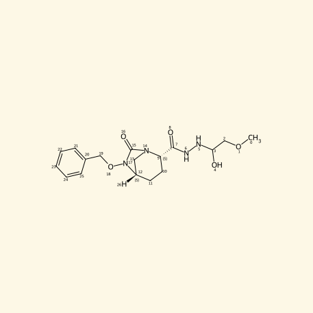 COCC(O)NNC(=O)[C@@H]1CC[C@H]2CN1C(=O)N2OCc1ccccc1